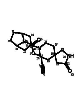 C#CCOC(=O)N1C2CCC1CC(N1CCC3(CC1)CNC(=O)C3)C2